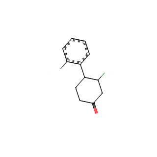 COc1ccccc1C1CCC(=O)CC1Cl